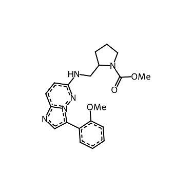 COC(=O)N1CCCC1CNc1ccc2ncc(-c3ccccc3OC)n2n1